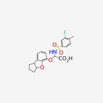 Cc1ccc(S(=O)(=O)NC(Oc2cccc3c2OC2CCCC32)C(=O)O)cc1F